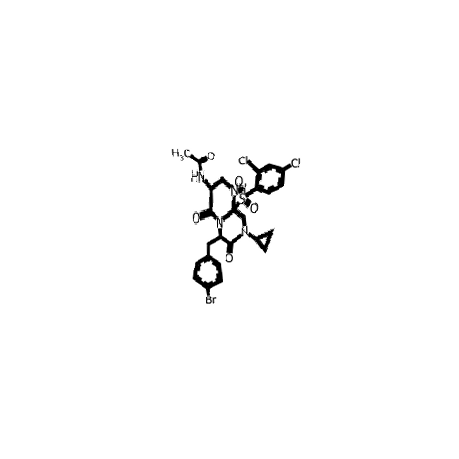 CC(=O)NC1CNC2(S(=O)(=O)c3ccc(Cl)cc3Cl)CN(C3CC3)C(=O)C(Cc3ccc(Br)cc3)N2C1=O